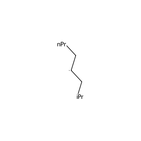 CCCC[CH]CC(C)C